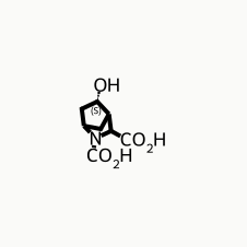 O=C(O)C1C2CC(C[C@@H]2O)N1C(=O)O